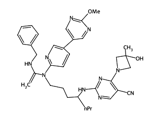 C=C(NCc1ccccc1)N(CCCC(CCC)Nc1ncc(C#N)c(N2CC(C)(O)C2)n1)c1ccc(-c2cnc(OC)nc2)cn1